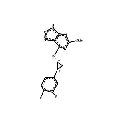 CSc1nc(N[C@@H]2C[C@H]2c2ccc(F)c(F)c2)c2nn[nH]c2n1